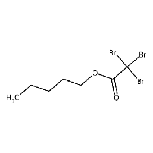 CCCCCOC(=O)C(Br)(Br)Br